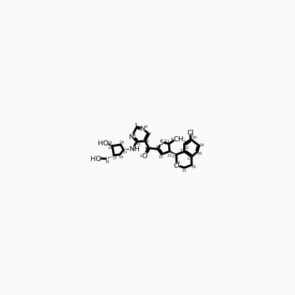 CC1SC(C(=O)c2cncnc2N[C@@H]2C[C@H](CO)[C@@H](O)C2)=CC1[C@@H]1OCCc2ccc(Cl)cc21